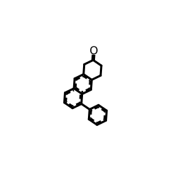 O=C1CCc2cc3c(-c4ccccc4)cccc3cc2C1